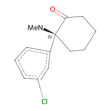 CN[C@]1(c2cccc(Cl)c2)CCCCC1=O